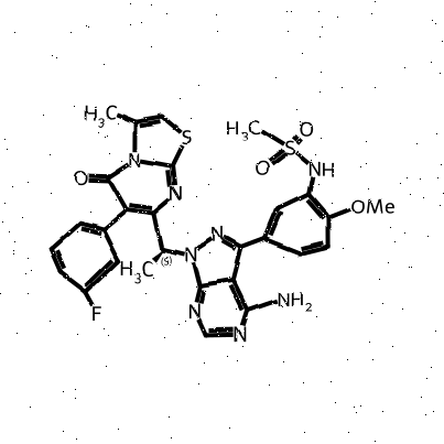 COc1ccc(-c2nn([C@@H](C)c3nc4scc(C)n4c(=O)c3-c3cccc(F)c3)c3ncnc(N)c23)cc1NS(C)(=O)=O